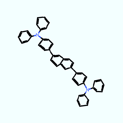 c1ccc(N(c2ccccc2)c2ccc(-c3ccc4cc(-c5ccc(N(c6ccccc6)c6ccccc6)cc5)ccc4c3)cc2)cc1